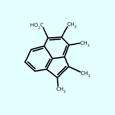 CC1=C(C)c2c(C)c(C)c(C(=O)O)c3cccc1c23